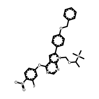 CC(OCn1c(-c2ccc(OCc3ccccc3)cc2)cc2c(Oc3ccc([N+](=O)[O-])c(F)c3)ncnc21)[Si](C)(C)C